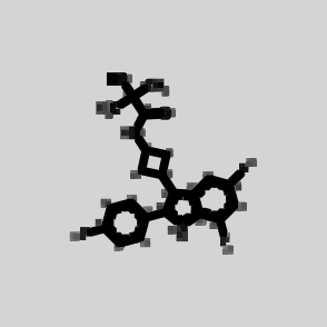 CC(C)(O)C(=O)NC1CC(c2c(-c3ccc(F)cc3)[nH]c3c(F)cc(F)cc23)C1